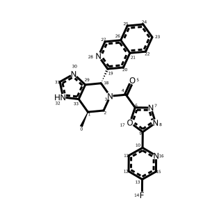 C[C@@H]1CN(C(=O)c2nnc(-c3ccc(F)cn3)o2)[C@@H](c2cc3ccccc3cn2)c2nc[nH]c21